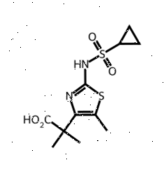 Cc1sc(NS(=O)(=O)C2CC2)nc1C(C)(C)C(=O)O